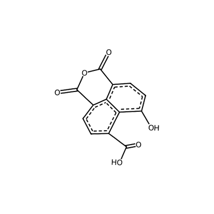 O=C(O)c1ccc2c3c(ccc(O)c13)C(=O)OC2=O